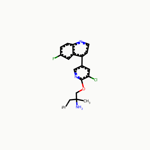 CC(C)CC(C)(N)COc1ncc(-c2ccnc3ccc(F)cc23)cc1Cl